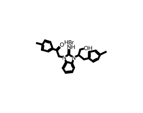 Br.Cc1ccc(CC(CO)n2c(=N)n(CC(=O)c3ccc(C)cc3)c3ccccc32)cc1